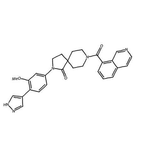 COc1cc(N2CCC3(CCN(C(=O)c4cccc5ccncc45)CC3)C2=O)ccc1-c1cn[nH]c1